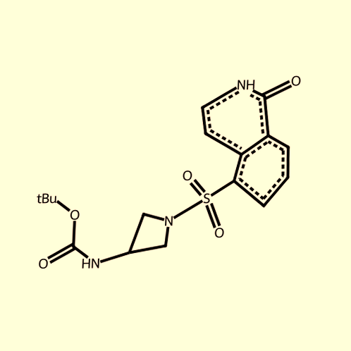 CC(C)(C)OC(=O)NC1CN(S(=O)(=O)c2cccc3c(=O)[nH]ccc23)C1